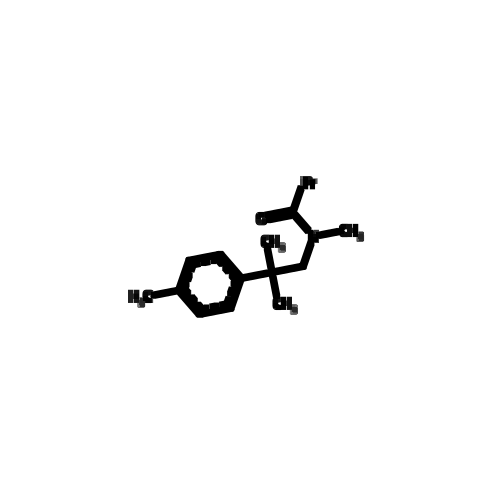 Cc1ccc(C(C)(C)CN(C)C(=O)C(C)C)cc1